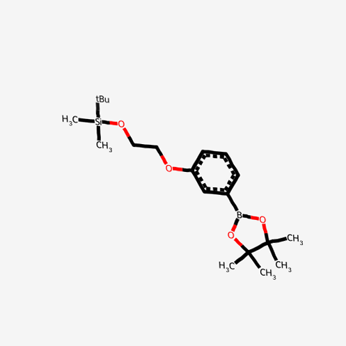 CC1(C)OB(c2cccc(OCCO[Si](C)(C)C(C)(C)C)c2)OC1(C)C